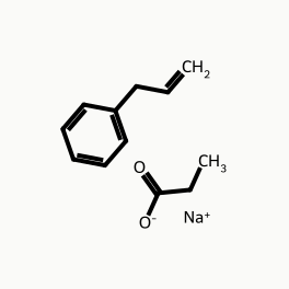 C=CCc1ccccc1.CCC(=O)[O-].[Na+]